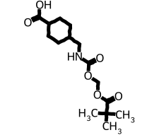 CC(C)(C)C(=O)OCOC(=O)NCC1CCC(C(=O)O)CC1